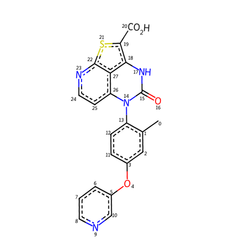 Cc1cc(Oc2cccnc2)ccc1N1C(=O)Nc2c(C(=O)O)sc3nccc1c23